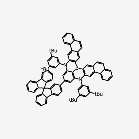 CC(C)(C)c1cc(N2c3cc4c(ccc5ccccc54)cc3B3c4cc5ccc6ccccc6c5cc4N(c4cc(C(C)(C)C)cc(C(C)(C)C)c4)c4cc(-c5ccc6c(c5)C5(c7ccccc7-c7ccccc75)c5ccccc5-6)cc2c43)cc(C(C)(C)C)c1